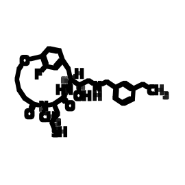 CCc1cccc(CNC[C@@H](O)[C@@H]2Cc3ccc(c(F)c3)OCCCCC(=O)N(C)C(CCS)C(=O)N2)c1